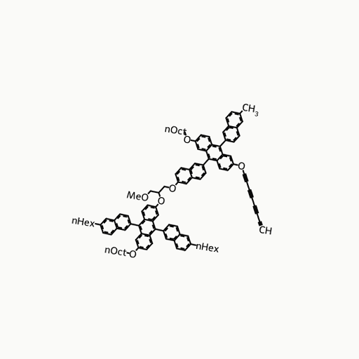 C#CC#CC#CC#COc1ccc2c(-c3ccc4cc(OCC(COC)Oc5ccc6c(-c7ccc8cc(CCCCCC)ccc8c7)c7cc(OCCCCCCCC)ccc7c(-c7ccc8cc(CCCCCC)ccc8c7)c6c5)ccc4c3)c3cc(OCCCCCCCC)ccc3c(-c3ccc4cc(C)ccc4c3)c2c1